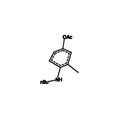 CCCCNc1ccc(OC(C)=O)cc1C